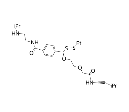 CCSSC(OCCOCC(=O)NC#CC(C)C)c1ccc(C(=O)NCCNC(C)C)cc1